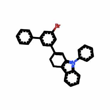 Brc1cc(C2=Cc3c(c4ccccc4n3-c3ccccc3)CC2)cc(-c2ccccc2)c1